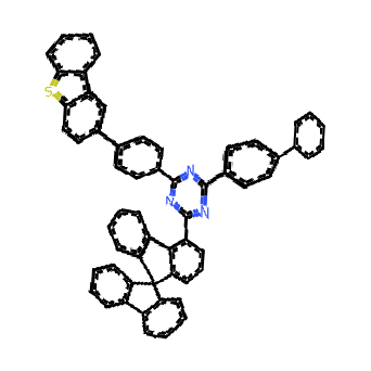 c1ccc(-c2ccc(-c3nc(-c4ccc(-c5ccc6sc7ccccc7c6c5)cc4)nc(-c4cccc5c4-c4ccccc4C54c5ccccc5-c5ccccc54)n3)cc2)cc1